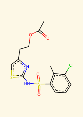 CC(=O)OCCc1csc(NS(=O)(=O)c2cccc(Cl)c2C)n1